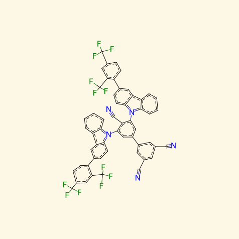 N#Cc1cc(C#N)cc(-c2cc(-n3c4ccccc4c4cc(-c5ccc(C(F)(F)F)cc5C(F)(F)F)ccc43)c(C#N)c(-n3c4ccccc4c4cc(-c5ccc(C(F)(F)F)cc5C(F)(F)F)ccc43)c2)c1